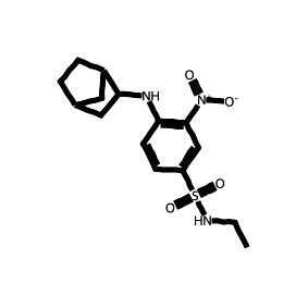 CCNS(=O)(=O)c1ccc(NC2CC3CCC2C3)c([N+](=O)[O-])c1